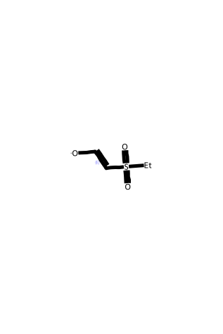 CCS(=O)(=O)/C=C/[O]